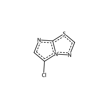 Clc1cnc2scnn12